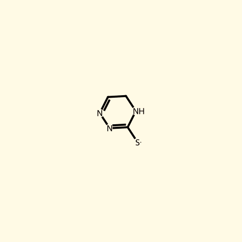 [S]C1=NN=CCN1